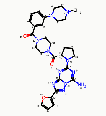 CN1CCN(c2cccc(C(=O)N3CCN(C(=O)[C@@H]4CCCN4c4nc(N)n5nc(-c6ccco6)nc5n4)CC3)c2)CC1